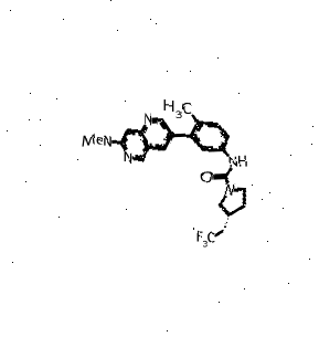 CNc1cc2ncc(-c3cc(NC(=O)N4CC[C@H](CC(F)(F)F)C4)ccc3C)cc2cn1